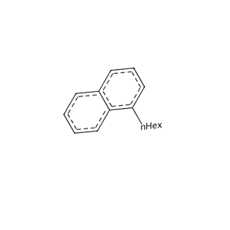 CCCCCCc1cccc2ccccc12